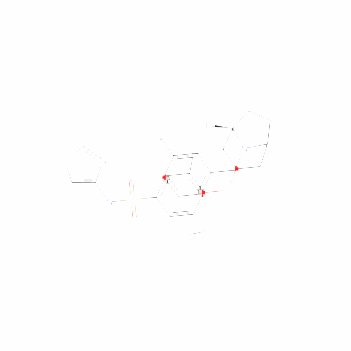 O=CO.O=S(=O)(Nc1cscn1)c1ccc(OC2C[C@@H]3CC[C@@H](C2)N3Cc2cc(Cl)ccc2F)c(Cl)c1